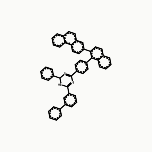 c1ccc(-c2cccc(C3=NC(c4ccc(-c5c(-c6ccc7c(ccc8ccccc87)c6)ccc6ccccc56)cc4)=NC(c4ccccc4)N3)c2)cc1